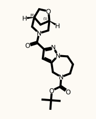 CC(C)(C)OC(=O)N1CCCn2nc(C(=O)N3C[C@@H]4CO[C@@H](C4)C3)cc2C1